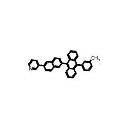 Cc1cccc(-c2c3ccccc3c(-c3ccc4cc(-c5cccnc5)ccc4c3)c3ccccc23)c1